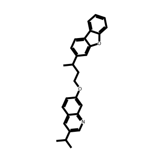 CC(C)c1cnc2cc(OCCC(C)c3ccc4c(c3)oc3ccccc34)ccc2c1